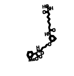 COC(=O)[C@@H](NC(=O)CCCOc1cccc(NC(=O)CCCCCCC(=O)NO)c1)c1ccccc1